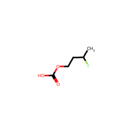 CC(F)CCOC(=O)O